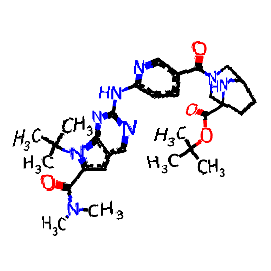 CN(C)C(=O)c1cc2cnc(Nc3ccc(C(=O)N4CC5CCC(C(=O)OC(C)(C)C)(C4)N5)cn3)nc2n1C(C)(C)C